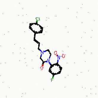 O=C1CN(CC=Cc2ccc(Cl)cc2)CCN1c1cc(F)ccc1[N+](=O)[O-]